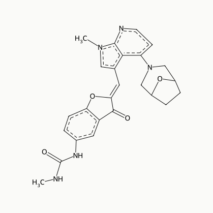 CNC(=O)Nc1ccc2c(c1)C(=O)/C(=C/c1cn(C)c3nccc(N4CC5CCC(C4)O5)c13)O2